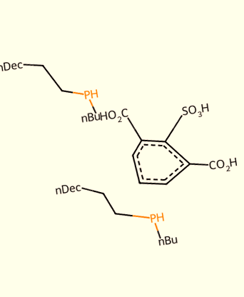 CCCCCCCCCCCCPCCCC.CCCCCCCCCCCCPCCCC.O=C(O)c1cccc(C(=O)O)c1S(=O)(=O)O